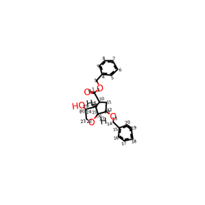 O=C(OCc1ccccc1)C1C[C@@H](OCc2ccccc2)[C@H]2OC[C@H](O)[C@@H]12